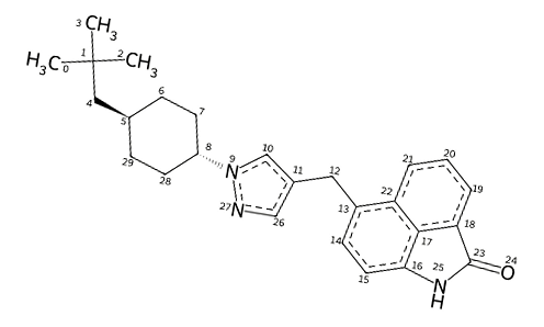 CC(C)(C)C[C@H]1CC[C@H](n2cc(Cc3ccc4c5c(cccc35)C(=O)N4)cn2)CC1